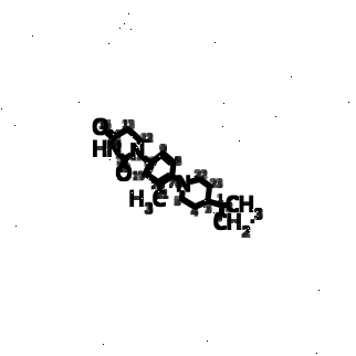 [CH2]C(C)C1CCN(c2ccc(N3CCC(=O)NC3=O)cc2C)CC1